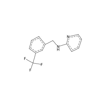 FC(F)(F)c1cccc(CNc2ccccn2)c1